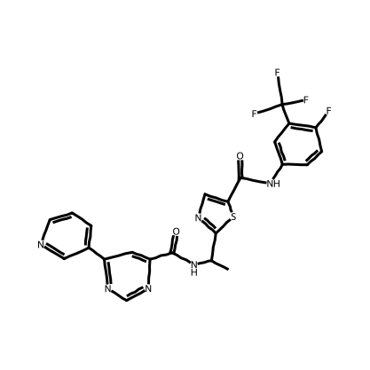 CC(NC(=O)c1cc(-c2cccnc2)ncn1)c1ncc(C(=O)Nc2ccc(F)c(C(F)(F)F)c2)s1